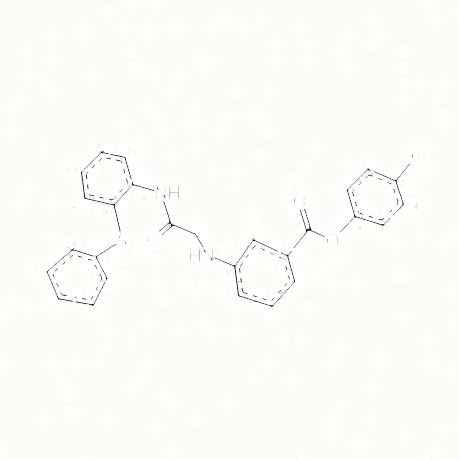 O=C(CNc1cccc(C(=O)Oc2ccc(Cl)cc2)c1)Nc1ccccc1Sc1ccccc1